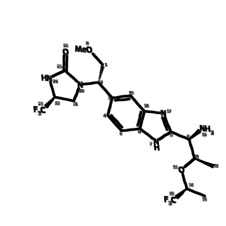 COC[C@H](c1ccc2[nH]c([C@@H](N)[C@@H](C)O[C@@H](C)C(F)(F)F)nc2c1)N1C[C@@H](C(F)(F)F)NC1=O